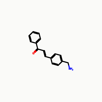 NCc1ccc(C=CC(=O)c2ccccc2)cc1